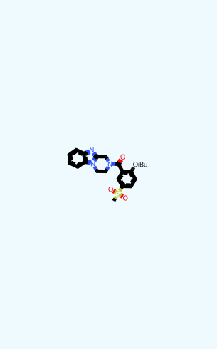 CC(C)COc1ccc(S(C)(=O)=O)cc1C(=O)N1CCn2c(nc3ccccc32)C1